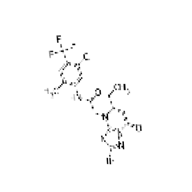 CCc1cc(=O)n2nc(Br)nc2n1CC(=O)Nc1cc(Cl)c(C(F)(F)F)cc1C